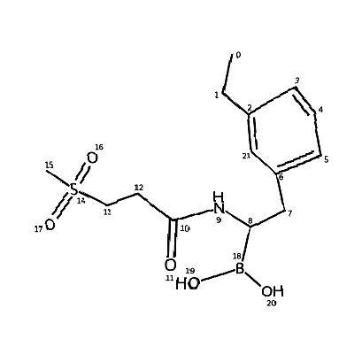 CCc1cccc(CC(NC(=O)CCS(C)(=O)=O)B(O)O)c1